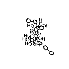 Oc1ccc2c3c4oc5c(O)c6c(c7ooc(c(O)c3n(-c3cccc(-c8ccccc8)c3)c2c1O)c4c57)c1c(O)c(O)c(O)c(O)c1n6-c1ccc(-c2ccc(-c3ccccc3)cc2)cc1